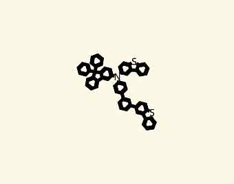 c1ccc(C2(c3ccccc3)c3ccccc3-c3cc(N(c4ccc(-c5cccc(-c6ccc7sc8ccccc8c7c6)c5)cc4)c4ccc5sc6ccccc6c5c4)ccc32)cc1